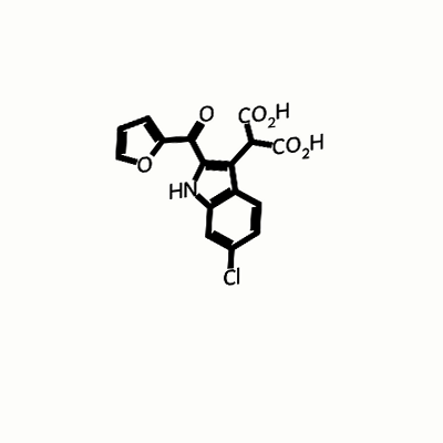 O=C(c1ccco1)c1[nH]c2cc(Cl)ccc2c1C(C(=O)O)C(=O)O